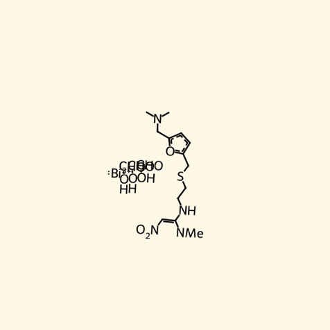 CNC(=C[N+](=O)[O-])NCCSCc1ccc(CN(C)C)o1.O=[C-]O.O=[C-]O.O=[C-]O.[Bi+3]